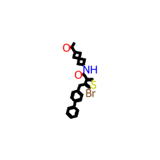 CC(=O)C1CC2(CC(NC(=O)c3csc(Br)c3Cc3ccc(-c4ccccc4)cc3)C2)C1